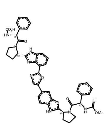 COC(=O)N[C@@H](C(=O)N1CCC[C@H]1c1nc2cc(-c3cnc(-c4cccc5[nH]c([C@@H]6CCCN6C(=O)[C@H](NC(=O)O)c6ccccc6)nc45)o3)ccc2[nH]1)c1ccccc1